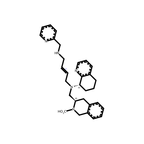 O=C(O)N1Cc2ccccc2C[C@@H]1CN(C/C=C/CNCc1ccccn1)[C@H]1CCCc2cccnc21